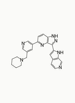 c1cc2cc(-c3n[nH]c4ccc(-c5cncc(CN6CCCCC6)c5)nc34)[nH]c2cn1